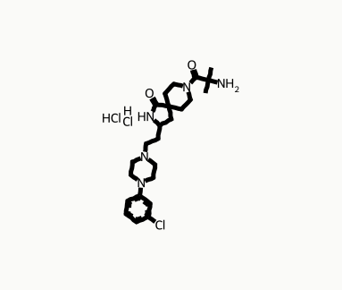 CC(C)(N)C(=O)N1CCC2(CC1)CC(CCN1CCN(c3cccc(Cl)c3)CC1)NC2=O.Cl.Cl